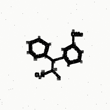 COc1cccc(C(c2ccccc2)C(C)[N+](=O)[O-])c1